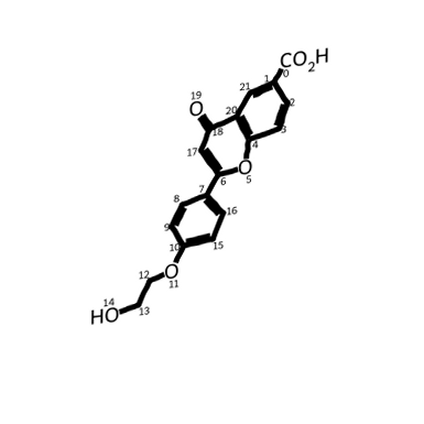 O=C(O)c1ccc2oc(-c3ccc(OCCO)cc3)cc(=O)c2c1